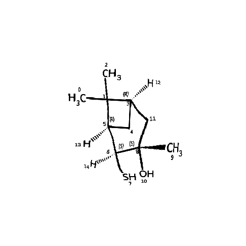 CC1(C)[C@@H]2C[C@H]1[C@H](S)[C@@](C)(O)C2